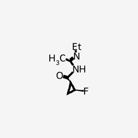 CC/N=C(\C)NC(=O)[C@@H]1C[C@@H]1F